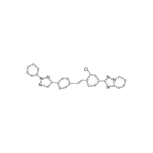 Clc1cc(-c2nc3ccccn3n2)ccc1C=Cc1ccc(-c2cnn(-c3ccccc3)n2)cc1